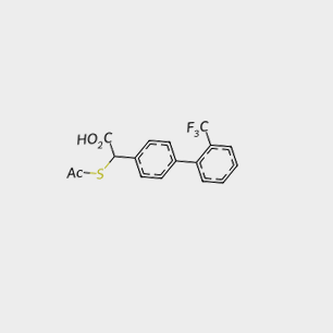 CC(=O)SC(C(=O)O)c1ccc(-c2ccccc2C(F)(F)F)cc1